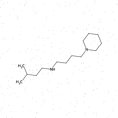 CC(C)CCNCCCCN1CCCCC1